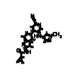 Cn1cc(Nc2cnc(C#N)cc2-c2ccn3nc(NC(=O)C4CC4)cc3c2)cn1